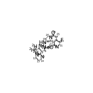 [2H]C([2H])([2H])c1nc2c(cc1-c1ncccn1)CC[C@@]1(CCN(C(=O)[C@H](C)c3cc(OC)ncc3F)C1)N2